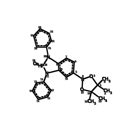 CC1(C)OB(c2ccc3c(c2)N(c2ccccc2)[PH](=O)N3c2ccccc2)OC1(C)C